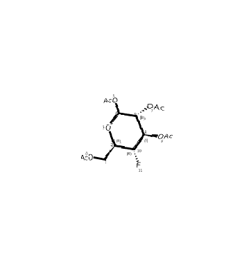 CC(=O)OC[C@H]1OC(OC(C)=O)[C@H](OC(C)=O)[C@@H](OC(C)=O)[C@@H]1F